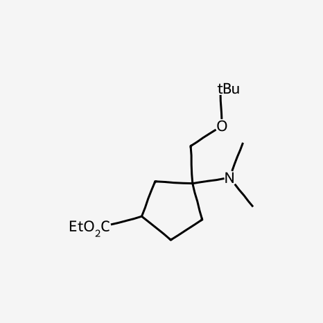 CCOC(=O)C1CCC(COC(C)(C)C)(N(C)C)C1